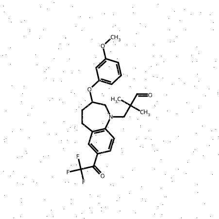 COc1cccc(OC2CCc3cc(C(=O)C(F)(F)F)ccc3N(CC(C)(C)C=O)C2)c1